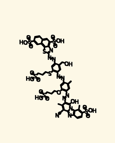 Cc1cc(N=Nc2c(C)c(C#N)c3nc4ccc(S(=O)(=O)O)c(C)c4n3c2O)c(OCCCS(=O)(=O)O)cc1N=Nc1cc(CO)c(N=Nc2nc3c(S(=O)(=O)O)cc4ccc(S(=O)(=O)O)cc4c3s2)cc1SCCCS(=O)(=O)O